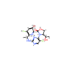 C[C@H](Nc1ncc(F)c(N2C(=O)OCC2[C@@H](C)O)n1)c1ncc(Br)cc1F